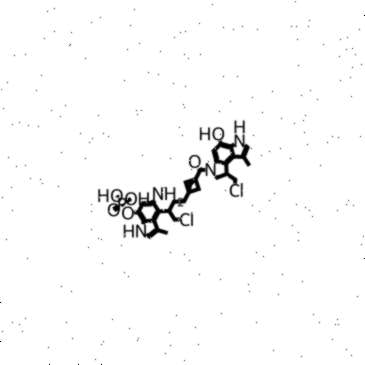 Cc1c[nH]c2c(O)cc3c(c12)C(CCl)CN3C(=O)C12CC(CCC(CCl)c3c(N)cc(OP(=O)(O)O)c4[nH]cc(C)c34)(C1)C2